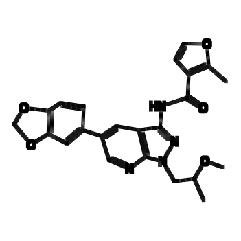 COC(C)Cn1nc(NC(=O)c2ccoc2C)c2cc(-c3ccc4c(c3)OCO4)cnc21